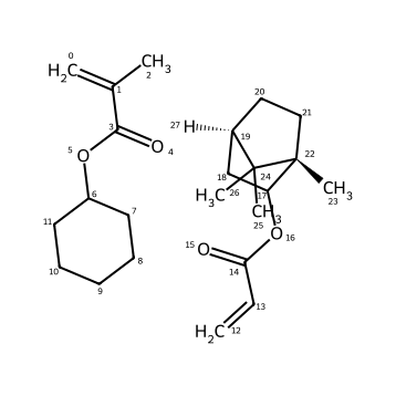 C=C(C)C(=O)OC1CCCCC1.C=CC(=O)OC1C[C@H]2CC[C@@]1(C)C2(C)C